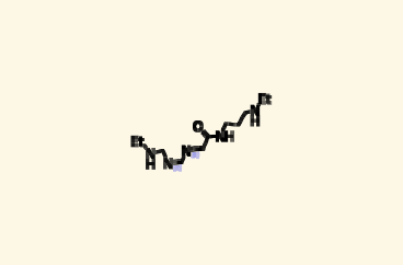 CCNCCCNC(=O)/C=N/C=N\CNCC